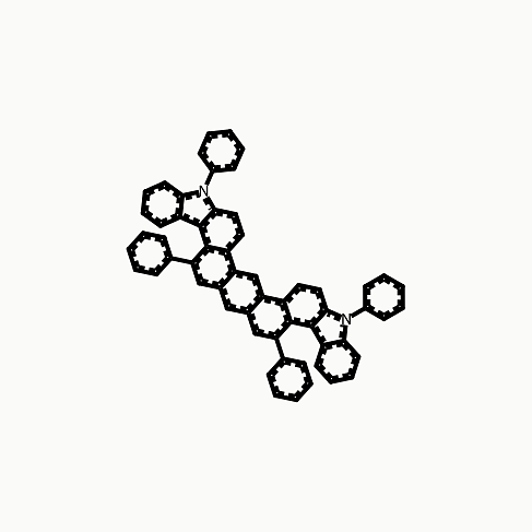 c1ccc(-c2cc3cc4cc(-c5ccccc5)c5c(ccc6c5c5ccccc5n6-c5ccccc5)c4cc3c3ccc4c(c5ccccc5n4-c4ccccc4)c23)cc1